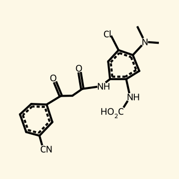 CN(C)c1cc(NC(=O)O)c(NC(=O)CC(=O)c2cccc(C#N)c2)cc1Cl